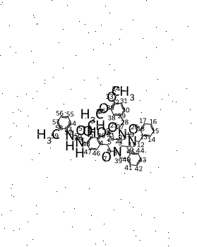 COc1cc(CC(=O)N(CCN(Cc2ccccc2)C(=O)N(CCC(=O)O)CCc2ccc(OC)c(OC)c2)Cc2ccccc2)ccc1NC(=O)Nc1ccccc1C